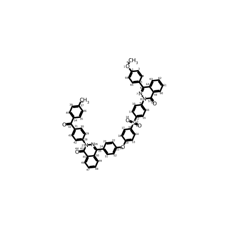 COc1ccc(-c2nn(-c3ccc(S(=O)(=O)c4ccc(Oc5ccc(-c6nn(-c7ccc(C(=O)c8ccc(C)cc8)cc7)c(=O)c7ccccc67)cc5)cc4)cc3)c(=O)c3ccccc23)cc1